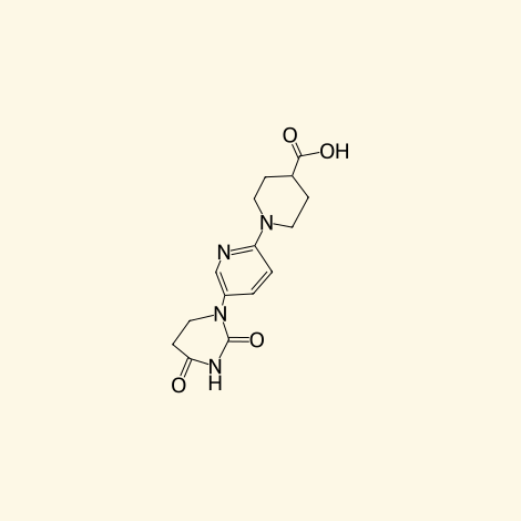 O=C1CCN(c2ccc(N3CCC(C(=O)O)CC3)nc2)C(=O)N1